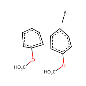 O=C(O)Oc1ccccc1.O=C(O)Oc1ccccc1.[CH3][Al]